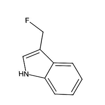 FCc1c[nH]c2ccccc12